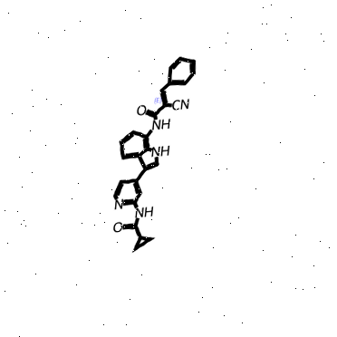 N#C/C(=C\c1ccccc1)C(=O)Nc1cccc2c(-c3ccnc(NC(=O)C4CC4)c3)c[nH]c12